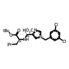 CC(C)C[C@H](N[C@H](C(=O)O)c1cn(Cc2cc(Cl)cc(Cl)c2)cn1)C(=O)OC(C)(C)C